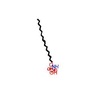 CCCCCCCCC=CCCCCCCCCONS(=O)(=O)O